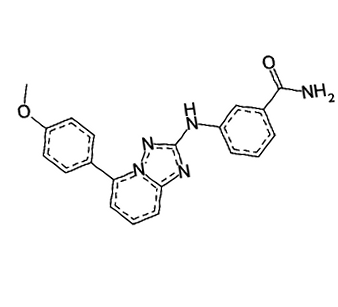 COc1ccc(-c2cccc3nc(Nc4cccc(C(N)=O)c4)nn23)cc1